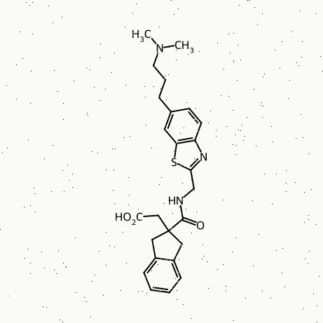 CN(C)CCCc1ccc2nc(CNC(=O)C3(CC(=O)O)Cc4ccccc4C3)sc2c1